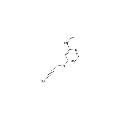 CC#CCOc1cc(NC(C)C)ncn1